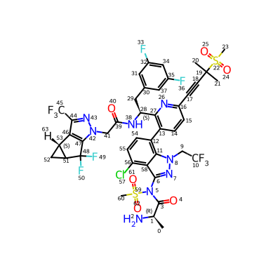 C[C@@H](N)C(=O)N(c1nn(CC(F)(F)F)c2c(-c3ccc(C#CC(C)(C)S(C)(=O)=O)nc3[C@H](Cc3cc(F)cc(F)c3)NC(=O)Cn3nc(C(F)(F)F)c4c3C(F)(F)C3C[C@H]43)ccc(Cl)c12)S(C)(=O)=O